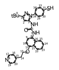 CC(C)(C)c1cc(NC(=O)Nc2ccc(OCCc3ccncc3)c3ccccc23)n(-c2ccc(S)cc2)n1